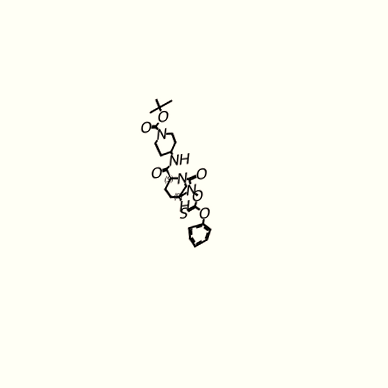 CC(C)(C)OC(=O)N1CCC(NC(=O)[C@@H]2CC[C@@H]3CN2C(=O)N3OC(=S)Oc2ccccc2)CC1